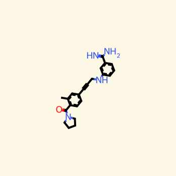 Cc1cc(C#CCNc2cccc(C(=N)N)c2)ccc1C(=O)N1CCCC1